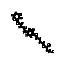 CC(=O)CC(=O)OCCCCOc1ccc(CCCCOC2CCCCO2)cc1